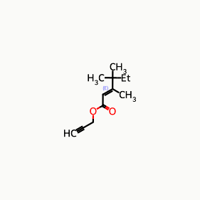 C#CCOC(=O)/C=C(\C)C(C)(C)CC